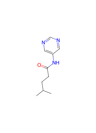 CC(C)CCC(=O)Nc1cncnc1